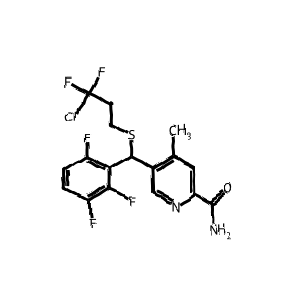 Cc1cc(C(N)=O)ncc1C(SCCC(F)(F)Cl)c1c(F)ccc(F)c1F